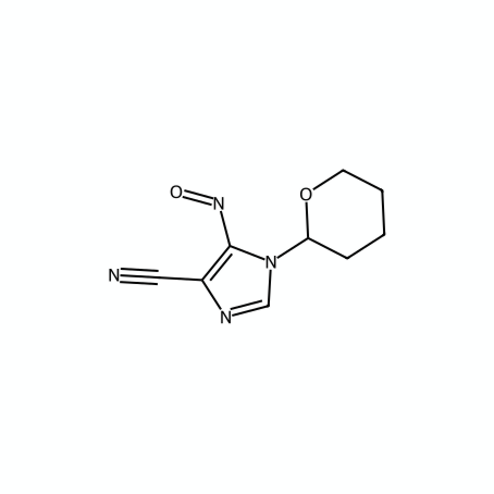 N#Cc1ncn(C2CCCCO2)c1N=O